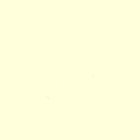 CN(C)C(CC(Oc1cccc2ccccc12)c1ccsc1)OC(=O)C(=O)OC(CC(Oc1cccc2ccccc12)c1ccsc1)N(C)C